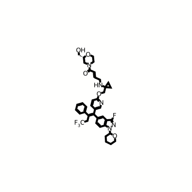 O=C(/C=C/CNC1(COc2ccc(/C(=C(/CC(F)(F)F)c3ccccc3)c3ccc4c(c3)c(F)nn4C3CCCCO3)cn2)CC1)N1CCO[C@@H](CO)C1